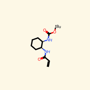 C=CC(=O)N[C@H]1CCCC[C@H]1NC(=O)OC(C)(C)C